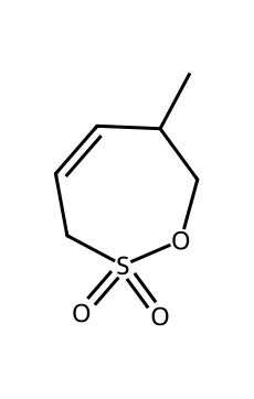 CC1C=CCS(=O)(=O)OC1